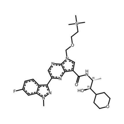 C[C@@H](NC(=O)c1cn(COCC[Si](C)(C)C)c2ncc(-c3nn(C)c4cc(F)ccc34)nc12)[C@H](O)C1CCOCC1